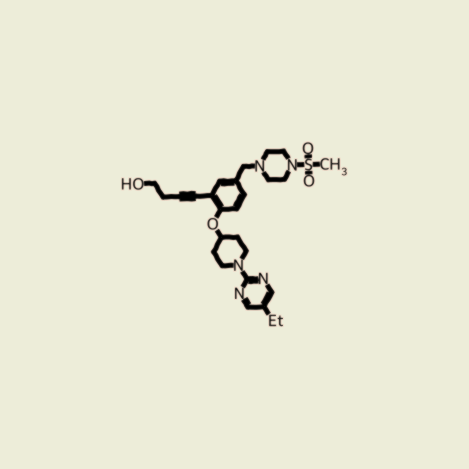 CCc1cnc(N2CCC(Oc3ccc(CN4CCN(S(C)(=O)=O)CC4)cc3C#CCCO)CC2)nc1